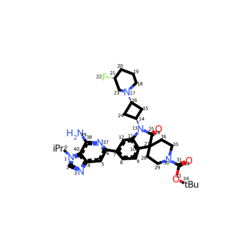 CC(C)n1cnc2cc(-c3ccc4c(c3)N([C@H]3C[C@@H](N5CCC[C@@H](F)C5)C3)C(=O)C43CCN(C(=O)OC(C)(C)C)CC3)nc(N)c21